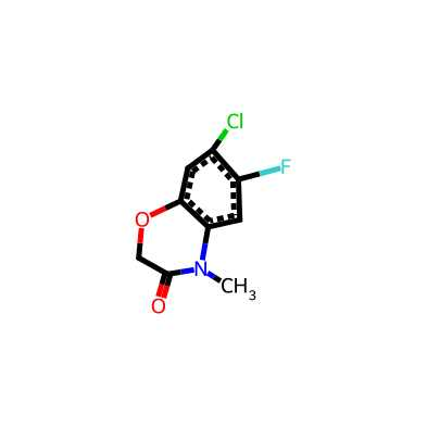 CN1C(=O)COc2cc(Cl)c(F)cc21